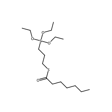 CCCCCCC(=O)SCCC[Si](OCC)(OCC)OCC